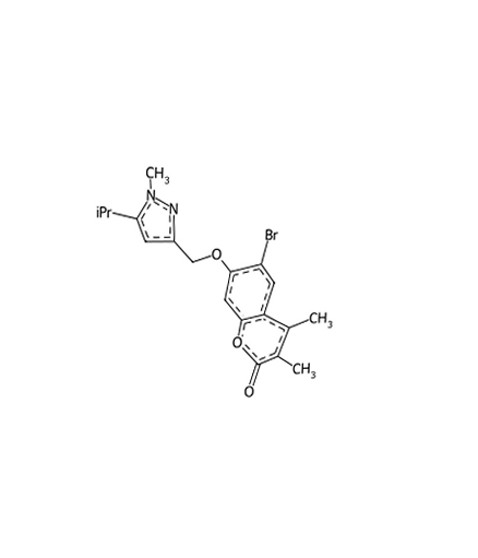 Cc1c(C)c2cc(Br)c(OCc3cc(C(C)C)n(C)n3)cc2oc1=O